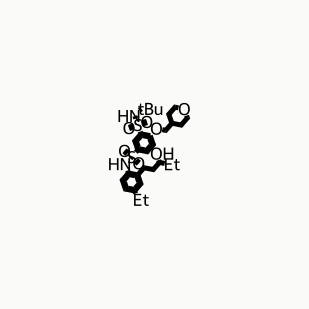 CCc1ccc(NS(=O)(=O)c2ccc(OCC3CCOCC3)c(S(=O)(=O)NC(C)(C)C)c2)c(CCC(O)CC)c1